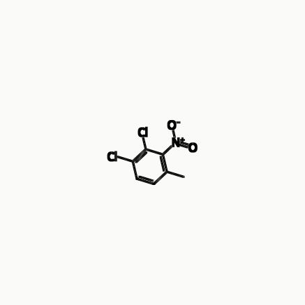 Cc1ccc(Cl)c(Cl)c1[N+](=O)[O-]